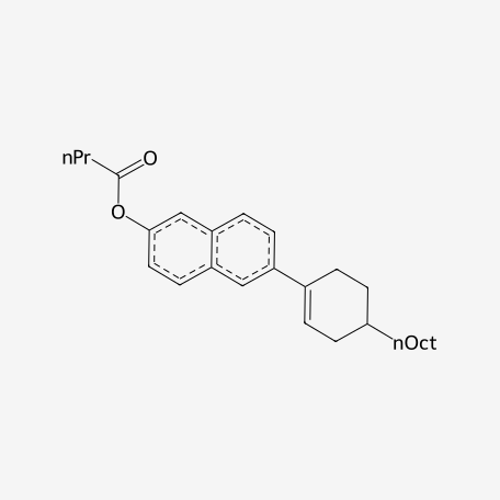 CCCCCCCCC1CC=C(c2ccc3cc(OC(=O)CCC)ccc3c2)CC1